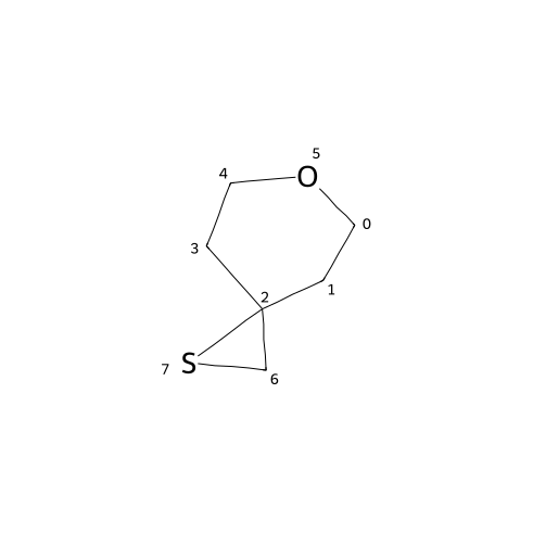 C1CC2(CCO1)CS2